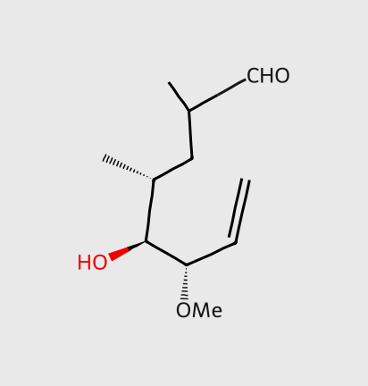 C=C[C@H](OC)[C@@H](O)[C@H](C)CC(C)C=O